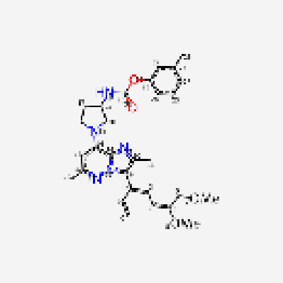 C=C/C(=C\C=C(/COC)OC)c1c(C)nc2c(N3CCC(NC(=O)Oc4cccc(C)c4)C3)cc(C)nn12